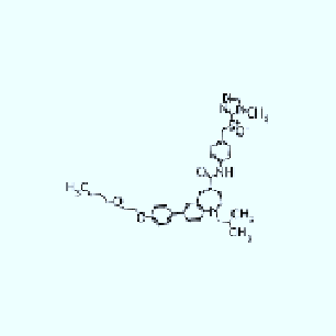 CCCCOCCOc1ccc(-c2ccc3c(c2)C=C(C(=O)Nc2ccc(C[S+]([O-])c4nncn4C)cc2)CCN3CC(C)C)cc1